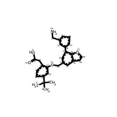 CC(C)(C)c1ccc(CC(=O)O)c(OCc2cc(-c3cccc(CN)c3)c3occc3c2)c1